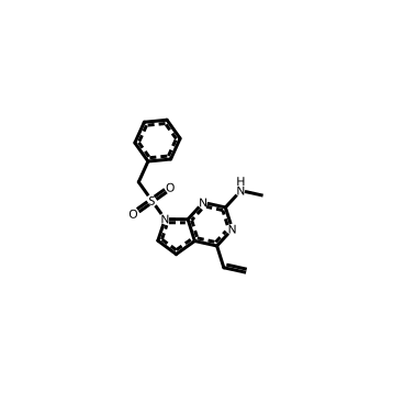 C=Cc1nc(NC)nc2c1ccn2S(=O)(=O)Cc1ccccc1